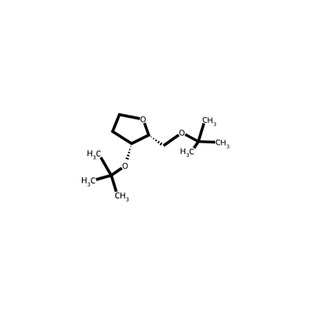 CC(C)(C)OC[C@H]1OCC[C@H]1OC(C)(C)C